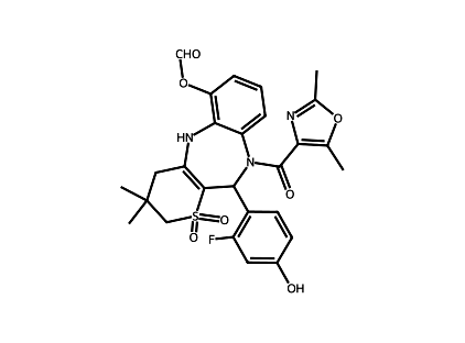 Cc1nc(C(=O)N2c3cccc(OC=O)c3NC3=C(C2c2ccc(O)cc2F)S(=O)(=O)CC(C)(C)C3)c(C)o1